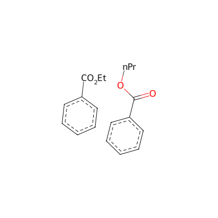 CCCOC(=O)c1ccccc1.CCOC(=O)c1ccccc1